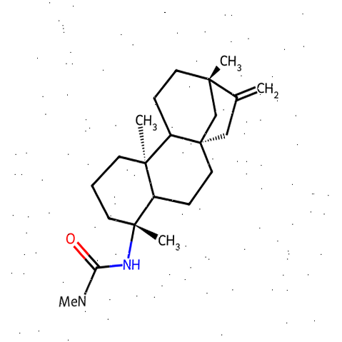 C=C1C[C@]23CCC4[C@@](C)(CCC[C@@]4(C)NC(=O)NC)C2CC[C@@]1(C)C3